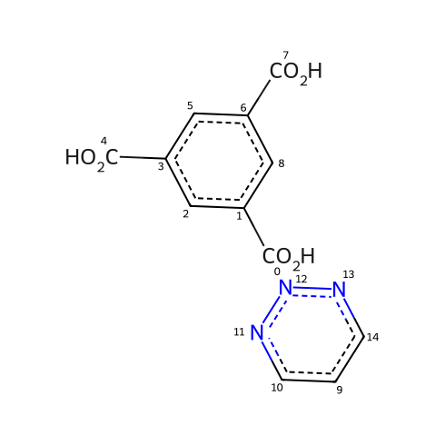 O=C(O)c1cc(C(=O)O)cc(C(=O)O)c1.c1cnnnc1